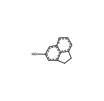 Oc1cc2c3c(cccc3c1)CC2